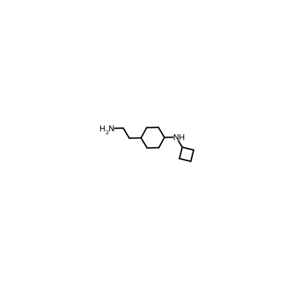 NCCC1CCC(NC2CCC2)CC1